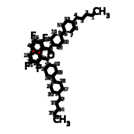 CCCCC[C@H]1CC[C@H]([C@H]2CC[C@H](C(OC(c3cccc(F)c3F)[C@H]3CC[C@H]([C@H]4CC[C@H](CCCCC)CC4)CC3)c3cccc(F)c3F)CC2)CC1